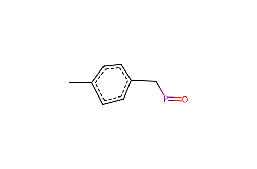 Cc1ccc(CP=O)cc1